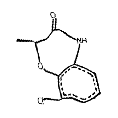 C[C@@H]1Oc2c(Cl)cccc2NC1=O